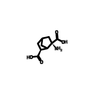 N[C@@]1(C(=O)O)CC2CC1[C@@H](C(=O)O)C2